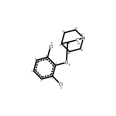 Clc1cccc(Cl)c1OC1CN2CCC1CC2